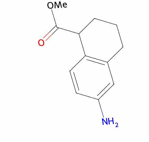 COC(=O)C1CCCc2cc(N)ccc21